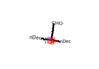 CCCCCCCCCCCCCCCC(=O)C(O)C(NCCCCCCCCCCC[C]=O)(C(=O)CCCCCCCCCCCCCCC)P(=O)(O)O